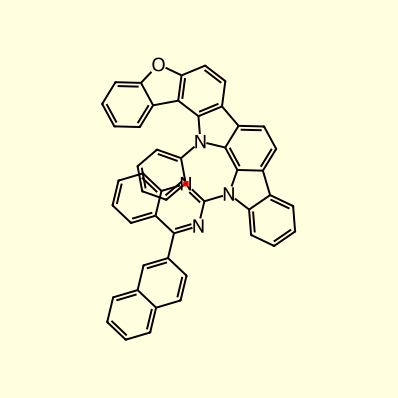 c1ccc(-n2c3c(ccc4oc5ccccc5c43)c3ccc4c5ccccc5n(-c5nc(-c6ccc7ccccc7c6)c6ccccc6n5)c4c32)cc1